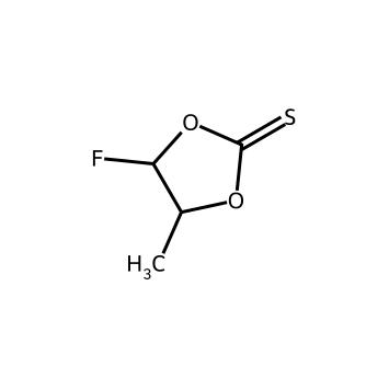 CC1OC(=S)OC1F